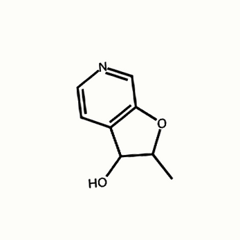 CC1Oc2cnccc2C1O